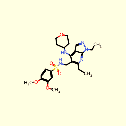 CCc1nc2c(cnn2CC)c(NC2CCOCC2)c1CNS(=O)(=O)c1ccc(OC)c(OC)c1